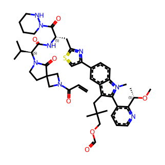 C=CC(=O)N1CC2(CCN([C@H](C(=O)N[C@@H](Cc3nc(-c4ccc5c(c4)c(CC(C)(C)COC=O)c(-c4cccnc4[C@H](C)OC)n5C)cs3)C(=O)N3CCCCN3)C(C)C)C2=O)C1